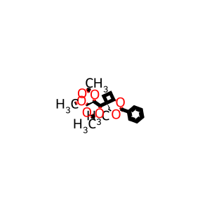 CC[C@]1(C(OC(C)=O)[C@@H](COC)OC(C)=O)CC[C@H]1OC(=O)c1ccccc1